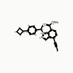 CC#Cc1ccc(C(=O)OC)c2c1cnn2C(C)c1ccc(C2CCC2)cc1